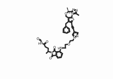 Cc1nnc2n1-c1sc(C#Cc3cnn(CCOCCNc4cccc5c4C(=O)N(C(C)CCC(=O)NC=O)C5=O)c3)c(Cc3ccccc3)c1CO[C@H]2C